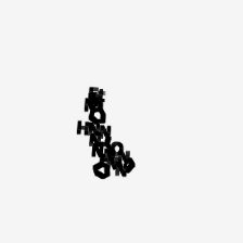 CCn1cc2ccc(Nc3ncc4c(=O)n5c(nc4n3)c3ccccc3n5-c3ncccn3)cc2n1